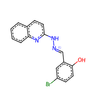 Oc1ccc(Br)cc1/C=N/Nc1ccc2ccccc2n1